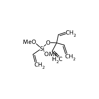 C=CC(C=C)(C=C)O[Si](C=C)(OC)OC